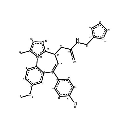 COc1ccc2c(c1)C(c1ccc(Cl)cc1)=NC(CC(=O)NCc1ccco1)c1nnc(C)n1-2